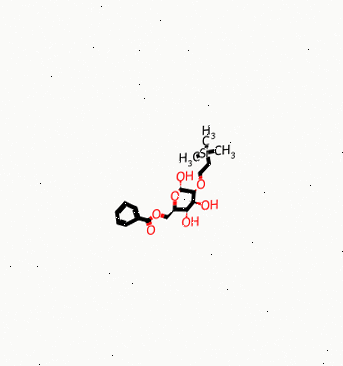 C[Si](C)(C)CCO[C@@H]1[C@@H](O)[C@H](O)[C@@H](COC(=O)c2ccccc2)O[C@@H]1O